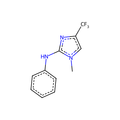 Cn1cc(C(F)(F)F)nc1Nc1ccccc1